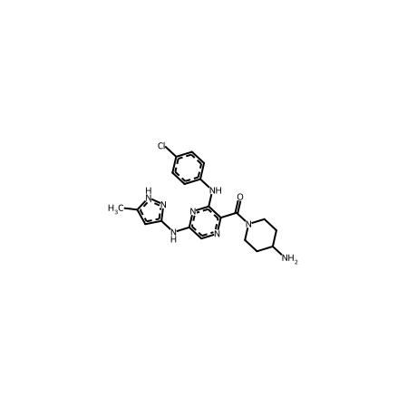 Cc1cc(Nc2cnc(C(=O)N3CCC(N)CC3)c(Nc3ccc(Cl)cc3)n2)n[nH]1